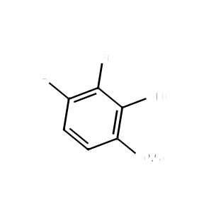 COc1ccc(F)c(Br)c1C=O